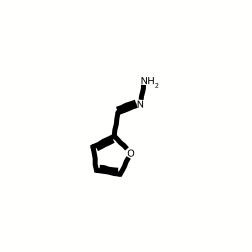 NN=Cc1ccco1